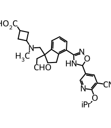 CC(C)Oc1ncc(C2NC(c3cccc4c3CCC4(CC=O)CN(C)C3CC(C(=O)O)C3)=NO2)cc1C#N